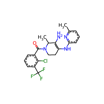 Cc1cccc(NC2=C(N)C(C)N(C(=O)c3cccc(C(F)(F)F)c3Cl)CC2)n1